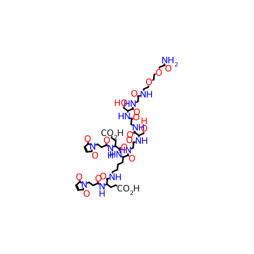 NC(=O)COCCOCCNC(=O)CNC(=O)C(CO)NC(=O)CNC(=O)C(CO)NC(=O)CNC(=O)C(CCCCNC(=O)C(CCC(=O)O)NC(=O)CCN1C(=O)C=CC1=O)NC(=O)C(CCC(=O)O)NC(=O)CCN1C(=O)C=CC1=O